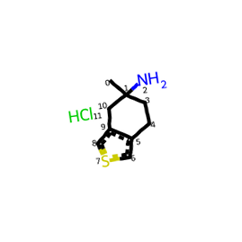 CC1(N)CCc2cscc2C1.Cl